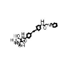 CC(O)C(NC(=O)c1ccc(C#Cc2ccc(NC(=O)CNCc3ccccc3)cc2)cc1)C(=O)NO